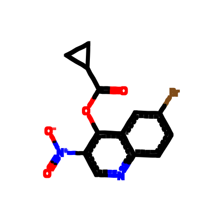 O=C(Oc1c([N+](=O)[O-])cnc2ccc(Br)cc12)C1CC1